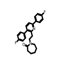 O=C1CCCCCN1CCc1nc(-c2ccc(F)cc2)ccc1-c1ccc(F)cc1